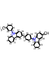 Cc1cccc(-n2c3ccccc3c3cc(-c4ccc(-n5c6ccccc6c6cc(C)ccc65)cc4)ccc32)c1